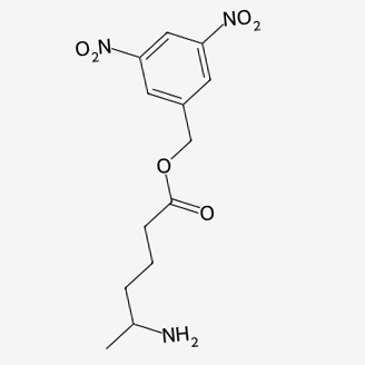 CC(N)CCCC(=O)OCc1cc([N+](=O)[O-])cc([N+](=O)[O-])c1